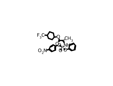 C[C@H](NP(=O)(Oc1ccccc1)Oc1ccc([N+](=O)[O-])cc1)C(=O)OC1CCC(C(F)(F)F)CC1